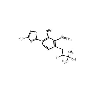 C=Nc1c(CC(F)C(C)(C)O)ccc(-c2nc(C)cs2)c1CCC